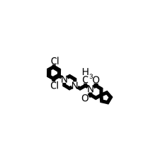 CC(CN1CCN(c2cc(Cl)ccc2Cl)CC1)N1C(=O)CC2(CCCC2)CC1=O